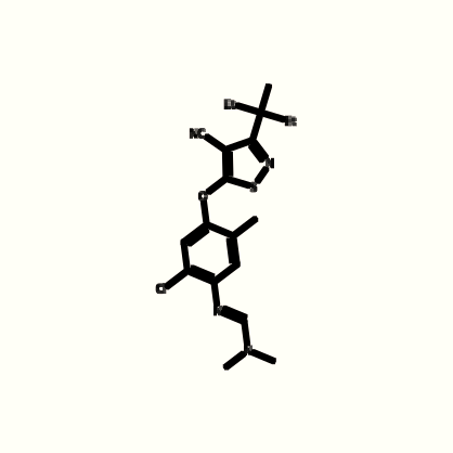 CCC(C)(CC)c1nsc(Oc2cc(Cl)c(N=CN(C)C)cc2C)c1C#N